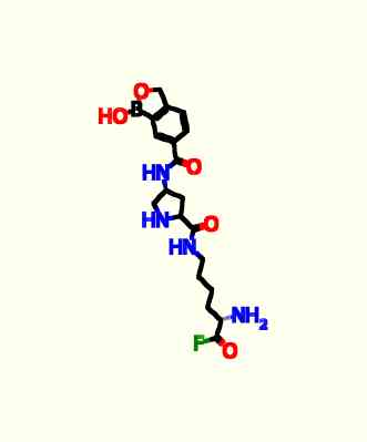 N[C@@H](CCCCNC(=O)C1C[C@H](NC(=O)c2ccc3c(c2)B(O)OC3)CN1)C(=O)F